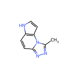 Cc1nnc2ccc3[nH]ccc3n12